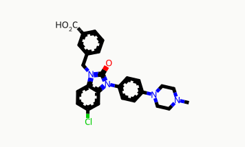 CN1CCN(c2ccc(-n3c(=O)n(Cc4cccc(C(=O)O)c4)c4ccc(Cl)cc43)cc2)CC1